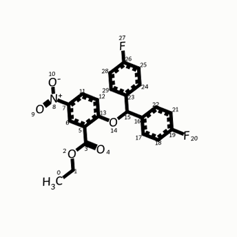 CCOC(=O)c1cc([N+](=O)[O-])ccc1OC(c1ccc(F)cc1)c1ccc(F)cc1